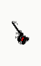 CCCCCCCCCCCCC(=O)Nc1ccccc1OCNc1ccc(Cl)c(NC(=O)C(c2nc3ncncc3c(=O)n2S(=O)(=O)NC)n2ccccc2=O)c1